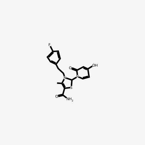 CC1=C(C(N)=O)SC(n2ccc(O)cc2=O)N1CCc1ccc(F)cc1